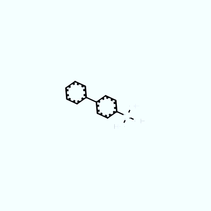 O[Si](O)(O)c1ccc(-c2ccccc2)cc1